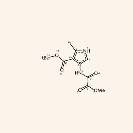 COC(=O)C(=O)Nc1c[nH]c(C)c1C(=O)OC(C)(C)C